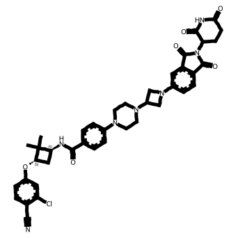 CC1(C)[C@@H](NC(=O)c2ccc(N3CCN(C4CN(c5ccc6c(c5)C(=O)N(C5CCC(=O)NC5=O)C6=O)C4)CC3)cc2)C[C@@H]1Oc1ccc(C#N)c(Cl)c1